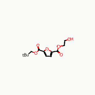 CC(C)(C)COC(=O)c1ccc(C(=O)OCCO)o1